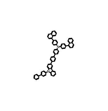 c1ccc(-c2ccc(-n3c4ccccc4c4cc(-c5ccc(-c6ccc(N(c7ccc(-c8cccc9ccccc89)cc7)c7ccc(-c8cccc9ccccc89)cc7)cc6)cc5)ccc43)cc2)cc1